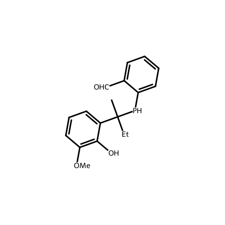 CCC(C)(Pc1ccccc1C=O)c1cccc(OC)c1O